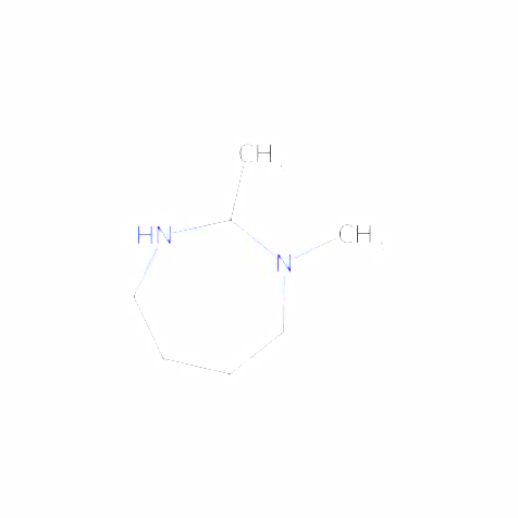 CC1NCCCCN1C